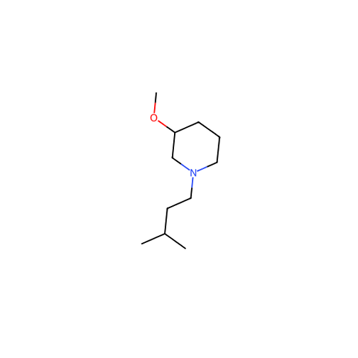 COC1CCCN(CCC(C)C)C1